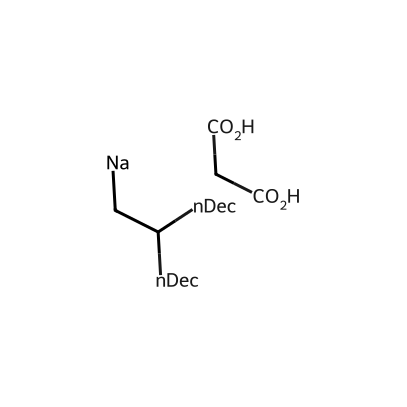 CCCCCCCCCCC([CH2][Na])CCCCCCCCCC.O=C(O)CC(=O)O